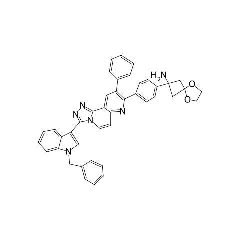 NC1(c2ccc(-c3nc4ccn5c(-c6cn(Cc7ccccc7)c7ccccc67)nnc5c4cc3-c3ccccc3)cc2)CC2(C1)OCCO2